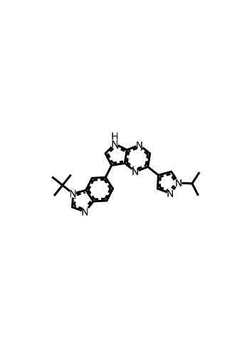 CC(C)n1cc(-c2cnc3[nH]cc(-c4ccc5ncn(C(C)(C)C)c5c4)c3n2)cn1